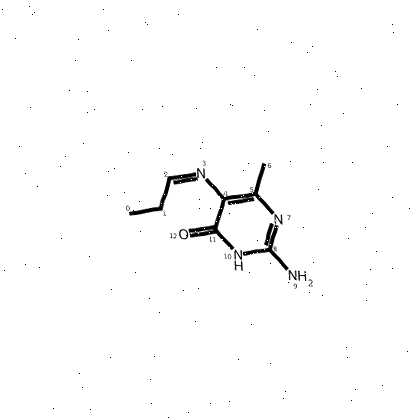 CC/C=N\c1c(C)nc(N)[nH]c1=O